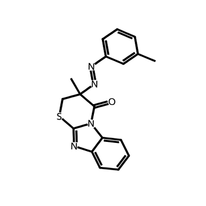 Cc1cccc(N=NC2(C)CSc3nc4ccccc4n3C2=O)c1